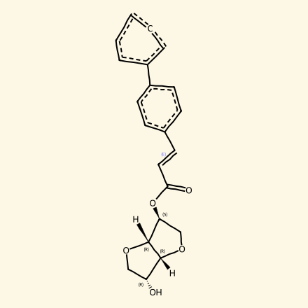 O=C(/C=C/c1ccc(-c2ccccc2)cc1)O[C@H]1CO[C@H]2[C@@H]1OC[C@H]2O